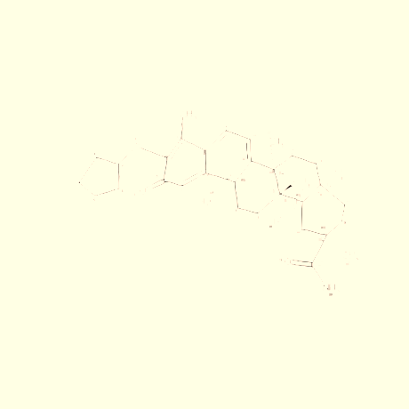 CC1=C(OC2CCCC2)C(=O)C=C2C1=CC=C1[C@@]2(C)CC[C@@]2(C)[C@@H]3C[C@](C)(C(N)=O)CC[C@]3(C)CC[C@]12C